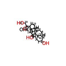 C[C@]12CC[C@@H](O)C[C@@H]1CC[C@@H]1[C@@H]2[C@@H](O)C[C@]2(C=O)[C@@H](C(=O)CO)CC[C@@H]12